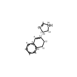 C1=N[C@@H](C2=Cc3ccccc3CC2)CN1